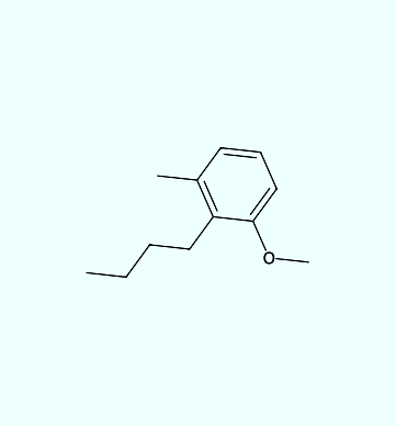 CCCCc1c(C)cccc1OC